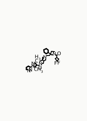 Cc1nn(-c2cccnn2)c(C)c1C(=O)N1CC2=CN(CCC3(c4ccccc4)CCN(C(=O)C4CC(F)(F)C4)C3)CC2C1